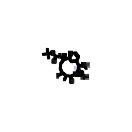 CN/C1=C(\C=N)NC(=O)C(C)C(F)CCC(NC(=O)OC(C)(C)C)c2cc1ccn2